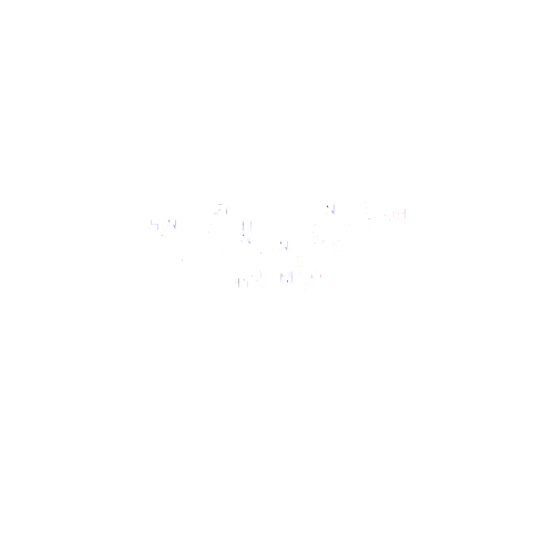 CC(C)c1ccc(N)c(C(C)C)c1NC(=O)N=S(N)(=O)c1cnc(C(C)(C)O)s1